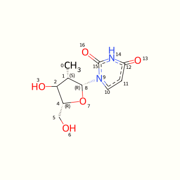 C[C@H]1C(O)[C@@H](CO)O[C@H]1n1ccc(=O)[nH]c1=O